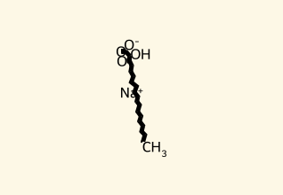 CCCCCCCCCCCCCCCCCC(=O)C(O)C(=O)[O-].[Na+]